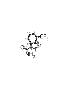 NC(=O)c1csc2c(C(F)(F)F)cccc12